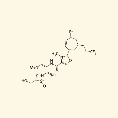 CCC1C=CC(C2OC=C(C(=O)N/C(=C/NC)C(=N)N3CC(CO)[S+]3[O-])N2C)=CC(CCC(F)(F)F)C1